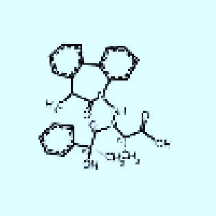 CC1C(=O)N(NN(C(=O)[C@@](C)(O)c2ccccc2)[C@@H](C)C(=O)O)c2ccccc2-c2ccccc21